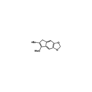 CCCCC1=C(OC)c2cc3c(cc2C1)OCO3